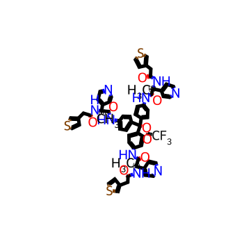 C[C@@](NC(=O)Cc1ccsc1)(C(=O)Nc1ccc(C(OC(=O)C(F)(F)F)(c2ccc(NC(=O)[C@@](C)(NC(=O)Cc3ccsc3)c3ccncc3)cc2)c2ccc(NC(=O)[C@@](C)(NC(=O)Cc3ccsc3)c3ccncc3)cc2)cc1)c1ccncc1